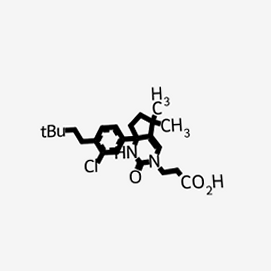 CC(C)(C)CCc1ccc(C23CCC(C)(C)C2=CN(CCC(=O)O)C(=O)N3)cc1Cl